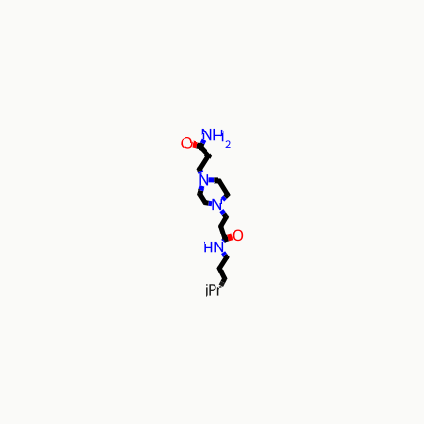 CC(C)CCCNC(=O)CCN1CCN(CCC(N)=O)CC1